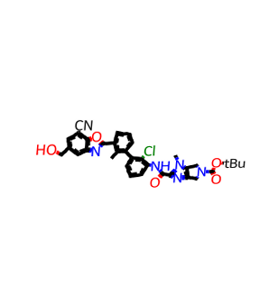 Cc1c(-c2nc3cc(CO)cc(C#N)c3o2)cccc1-c1cccc(NC(=O)c2nc3c(n2C)CN(C(=O)OC(C)(C)C)C3)c1Cl